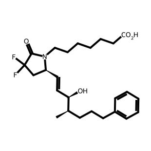 C[C@H](CCCc1ccccc1)[C@H](O)C=C[C@H]1CC(F)(F)C(=O)N1CCCCCCC(=O)O